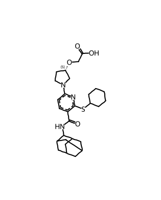 O=C(O)CO[C@H]1CCN(c2ccc(C(=O)NC3C4CC5CC(C4)CC3C5)c(SC3CCCCC3)n2)C1